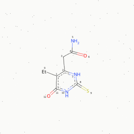 CCc1c(CC(N)=O)[nH]c(=S)[nH]c1=O